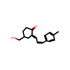 Cc1ccc(/C=C\C=C2/CC(CO)CCC2=O)cc1